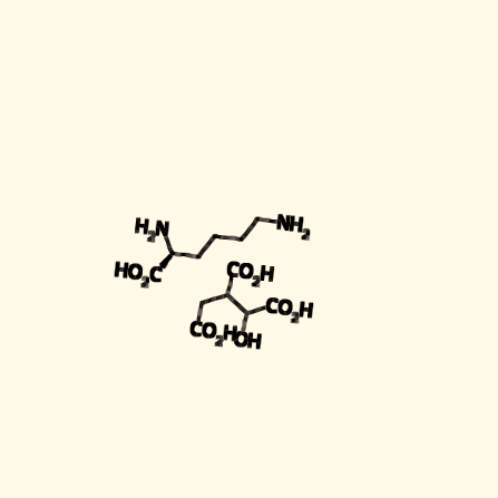 NCCCC[C@H](N)C(=O)O.O=C(O)CC(C(=O)O)C(O)C(=O)O